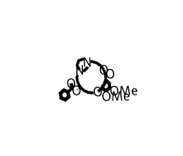 COc1cc2cc(c1OC)OCCC[C@H](OC(=O)c1ccccc1)CCN1CCCN(CCCOC2=O)CC1